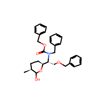 C[C@H]1CC[C@@H]([C@@H](COCc2ccccc2)N(Cc2ccccc2)C(=O)OCc2ccccc2)OC1O